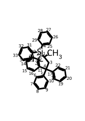 CC(C)(CC(c1ccccc1)(c1ccccc1)c1ccccc1)[Si](c1ccccc1)c1ccccc1